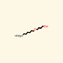 CCCCCCCCCCCCCOCC=CCO